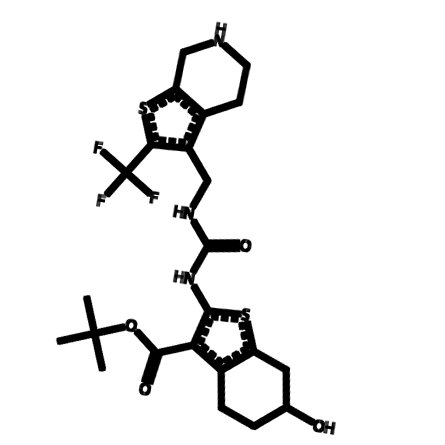 CC(C)(C)OC(=O)c1c(NC(=O)NCc2c(C(F)(F)F)sc3c2CCNC3)sc2c1CCC(O)C2